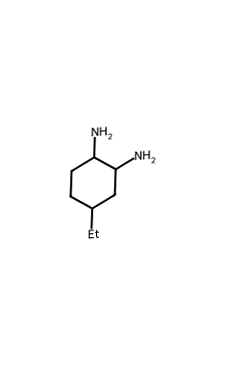 CCC1CCC(N)C(N)C1